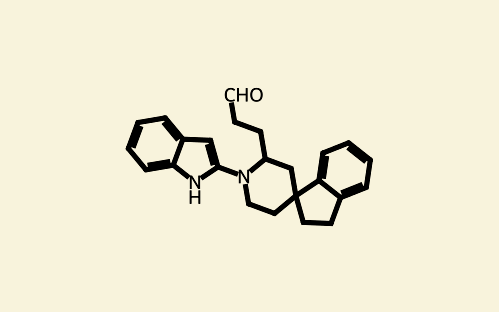 O=CCCC1CC2(CCc3ccccc32)CCN1c1cc2ccccc2[nH]1